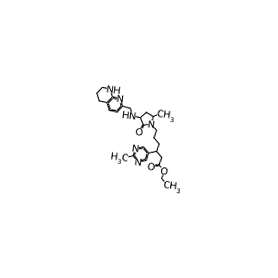 CCOC(=O)CC(CCCN1C(=O)C(NCc2ccc3c(n2)NCCC3)CC1C)c1cnc(C)nc1